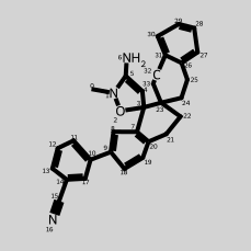 CN1OC2(C=C1N)c1cc(-c3cccc(C#N)c3)ccc1CCC21CCc2ccccc2CC1